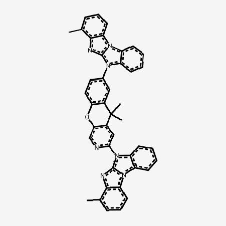 Cc1cccc2c1nc1n(-c3ccc4c(c3)C(C)(C)c3cc(-n5c6ccccc6n6c7cccc(C)c7nc56)ncc3O4)c3ccccc3n21